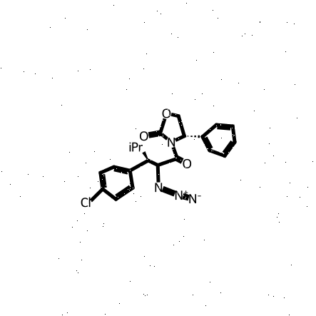 CC(C)[C@H](c1ccc(Cl)cc1)C(N=[N+]=[N-])C(=O)N1C(=O)OC[C@@H]1c1ccccc1